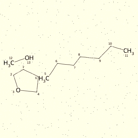 C1CCOC1.CCCCCCC.CO